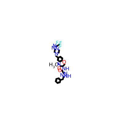 CN1C(=O)[C@@H](NC(=O)c2n[nH]c(Cc3ccccc3)n2)COc2ccc(CN3CCn4c(nnc4C(F)(F)F)C3)cc21